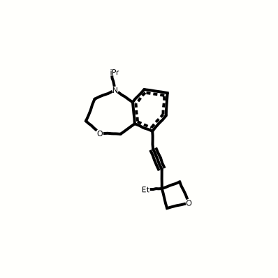 CCC1(C#Cc2cccc3c2COCCN3C(C)C)COC1